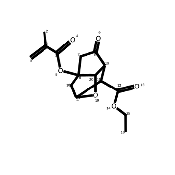 C=C(C)C(=O)OC12CC(=O)C3C(C(=O)OCC)C(C1)OC32